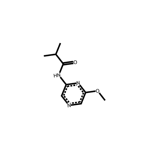 COc1cncc(NC(=O)C(C)C)n1